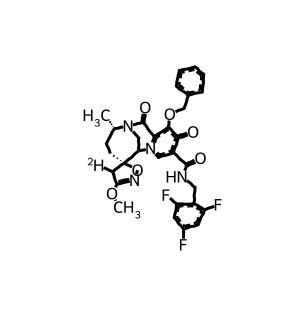 [2H]C1C(OC)=NO[C@@]12CC[C@H](C)N1CC2n2cc(C(=O)NCc3c(F)cc(F)cc3F)c(=O)c(OCc3ccccc3)c2C1=O